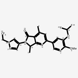 COc1ncc(-c2cc(C)c3c(n2)C(C)N(c2cnn(CC(F)(F)F)c2)C3=O)cc1OC(F)F